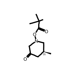 C[C@H]1CC(=O)CN(OC(=O)C(C)(C)C)C1